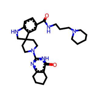 O=C(NCCCN1CCCCC1)c1ccc2c(c1)C1(CCN(c3nc4c(c(=O)[nH]3)CCCC4)CC1)CN2